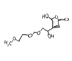 COCCOCOCC(O)C1=CC(=O)OC1O